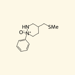 CSCC1CC[N+]([O-])(c2ccccc2)NC1